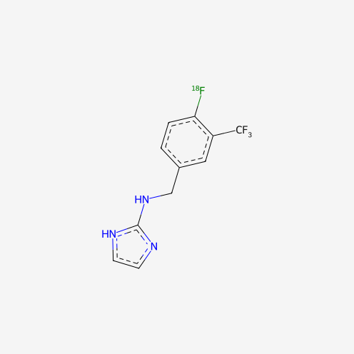 FC(F)(F)c1cc(CNc2ncc[nH]2)ccc1[18F]